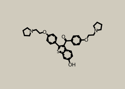 O=C(c1ccc(OCCN2CCCC2)cc1)c1c(-c2ccc(OCCN3CCCC3)cc2)sc2cc(O)ccc12